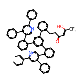 C/C=C\C(=C/C)c1cc(-c2ccccc2)c(-c2ccccc2-c2cc(-c3ccccc3CCC(=O)/C=C(\O)C(F)(F)F)cc(-c3ccccc3-c3cnc(-c4ccccc4)cc3-c3ccccc3)c2)cn1